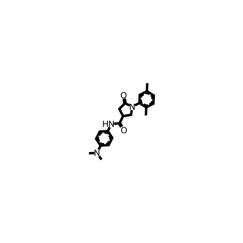 Cc1ccc(C)c(N2CC(C(=O)Nc3ccc(N(C)C)cc3)CC2=O)c1